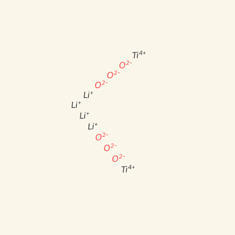 [Li+].[Li+].[Li+].[Li+].[O-2].[O-2].[O-2].[O-2].[O-2].[O-2].[Ti+4].[Ti+4]